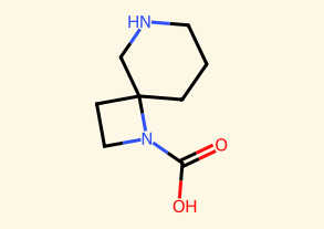 O=C(O)N1CCC12CCCNC2